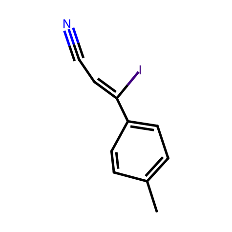 Cc1ccc(/C(I)=C/C#N)cc1